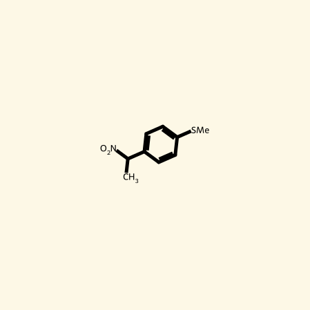 CSc1ccc(C(C)[N+](=O)[O-])cc1